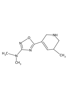 CC1C=C(c2nc(N(C)C)no2)CNC1